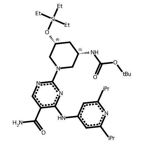 CC[Si](CC)(CC)O[C@@H]1C[C@H](NC(=O)OC(C)(C)C)CN(c2ncc(C(N)=O)c(Nc3cc(C(C)C)nc(C(C)C)c3)n2)C1